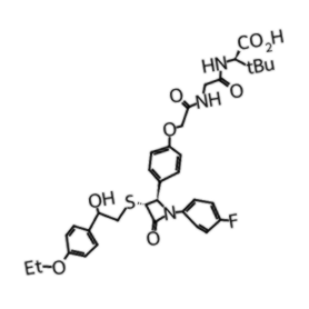 CCOc1ccc(C(O)CS[C@H]2C(=O)N(c3ccc(F)cc3)[C@@H]2c2ccc(OCC(=O)NCC(=O)N[C@@H](C(=O)O)C(C)(C)C)cc2)cc1